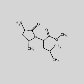 COC(=O)C(CC(C)C)N1C(=O)C(N)CC1C